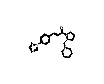 O=C(/C=C/c1ccc(-n2cncn2)cc1)N1CCC[C@H]1CN1CCCCC1